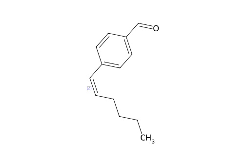 CCCC/C=C\c1ccc(C=O)cc1